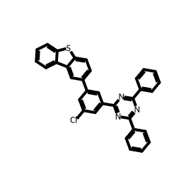 Clc1cc(-c2ccc3sc4ccccc4c3c2)cc(-c2nc(-c3ccccc3)nc(-c3ccccc3)n2)c1